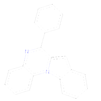 c1ccc(-c2nc3ccccc3n3c2cc2ccccc23)cc1